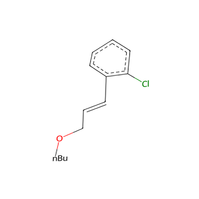 CCCCOC/C=C/c1ccccc1Cl